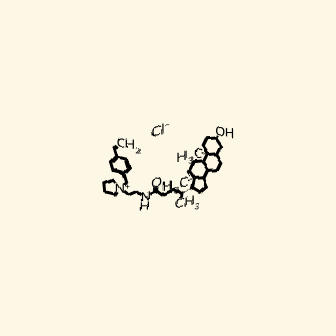 C=Cc1ccc(C[N+]2(CCNC(=O)CCC(C)[C@H]3CCC4C5CCC6C[C@H](O)CC[C@]6(C)C5CC[C@@]43C)CCCC2)cc1.[Cl-]